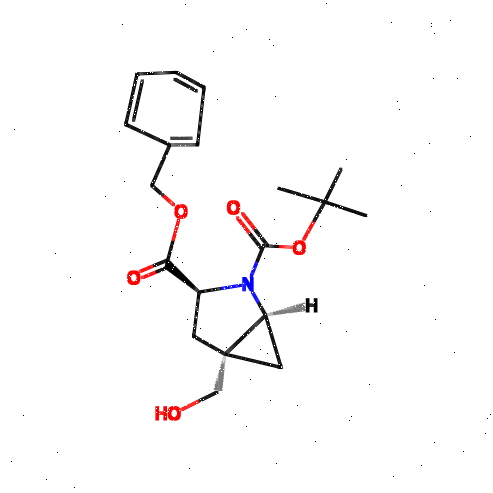 CC(C)(C)OC(=O)N1[C@H]2C[C@@]2(CO)C[C@H]1C(=O)OCc1ccccc1